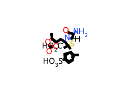 Cc1ccc(S(=O)(=O)O)cc1.Cc1oc(=O)oc1C[C@@]1(C(=O)O)N2C(=O)[C@@H](N)[C@H]2SC1(C)C